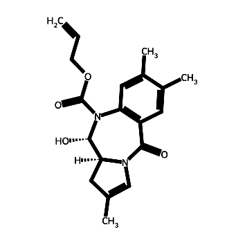 C=CCOC(=O)N1c2cc(C)c(C)cc2C(=O)N2C=C(C)C[C@H]2[C@@H]1O